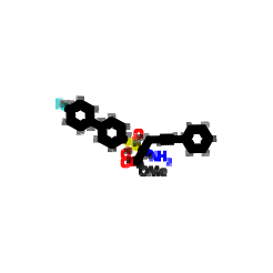 COC(=O)C(N)(CC#Cc1ccccc1)S(=O)(=O)c1ccc(-c2ccc(F)cc2)cc1